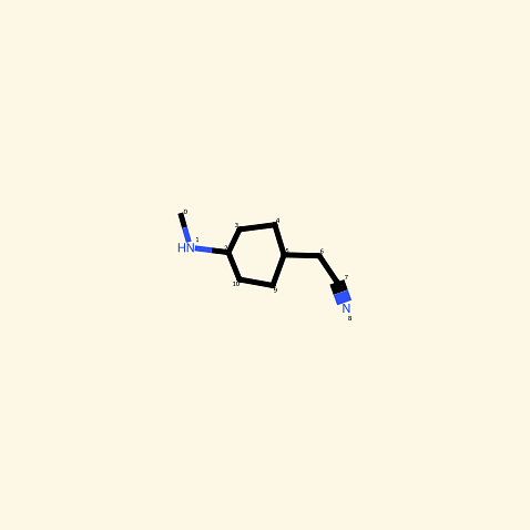 CNC1CCC(CC#N)CC1